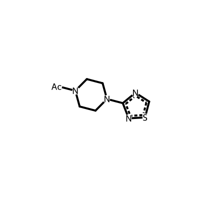 CC(=O)N1CCN(c2ncsn2)CC1